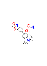 CC(=O)N1c2ccc(-c3ccc(N(C)S(C)(=O)=O)cc3)c(OCC(=O)N(C)C)c2CCC1C